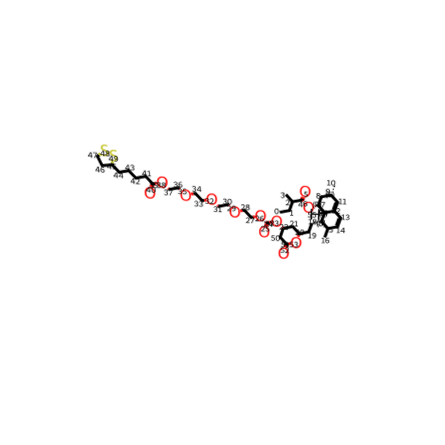 CCC(C)C(=O)O[C@@H]1C[C@H](C)C=C2C=CC(C)[C@H](CCC3CC(OC(=O)OCCOCCOCCOCCOC(=O)CCCCC4CCSS4)CC(=O)O3)[C@@H]21